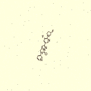 O=C1N(c2cccnc2)Cc2cc(-c3cnc(N4CCC(F)C4)c(F)c3)nn21